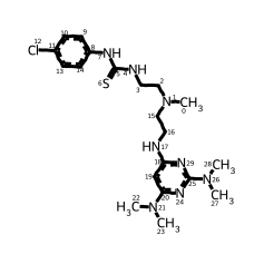 CN(CCNC(=S)Nc1ccc(Cl)cc1)CCNc1cc(N(C)C)nc(N(C)C)n1